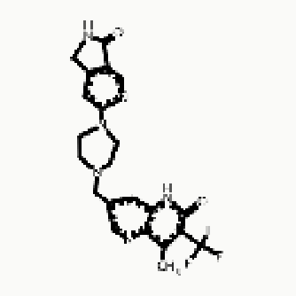 Cc1c(C(F)(F)F)c(=O)[nH]c2cc(CN3CCN(c4cc5c(cn4)C(=O)NC5)CC3)cnc12